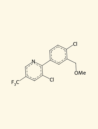 [CH2]OCc1cc(-c2ncc(C(F)(F)F)cc2Cl)ccc1Cl